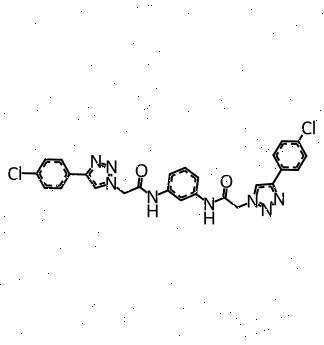 O=C(Cn1cc(-c2ccc(Cl)cc2)nn1)Nc1cccc(NC(=O)Cn2cc(-c3ccc(Cl)cc3)nn2)c1